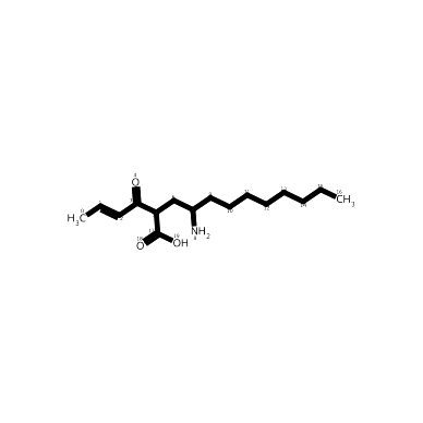 CC=CC(=O)C(CC(N)CCCCCCCC)C(=O)O